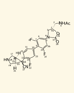 CC(=O)NC[C@H]1CN(c2cc(F)c(-c3ccc([C@@]4(C#N)[C@@H]5CNC[C@@H]54)c(F)c3)c(F)c2)C(=O)O1